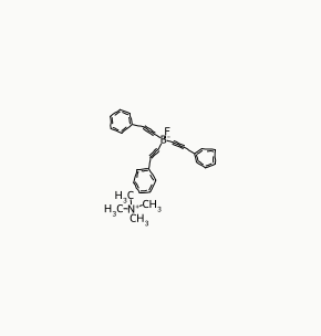 C[N+](C)(C)C.F[B-](C#Cc1ccccc1)(C#Cc1ccccc1)C#Cc1ccccc1